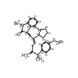 C=C(C/C=C1\C=C2C(=O)N(Br)c3cccc(c32)N2CCCC12)C(C)c1ccc(CC(C)C)cc1